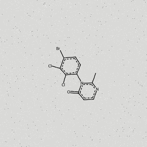 Cc1nccc(=O)n1-c1ccc(Br)c(Cl)c1Cl